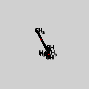 CCCCCCCCCCCCCCCCCCCCC(CCC(C)(C)c1ccc(O)cc1O)C(=O)O